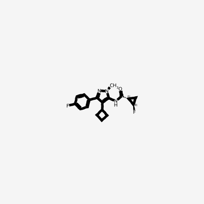 Cn1nc(-c2ccc(F)cc2)c(C2CCC2)c1NC(=O)[C@@H]1C[C@H]1F